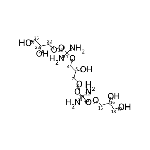 NC(N)(OCC(O)COOC(N)(N)OOCC(O)CO)OOCC(O)CO